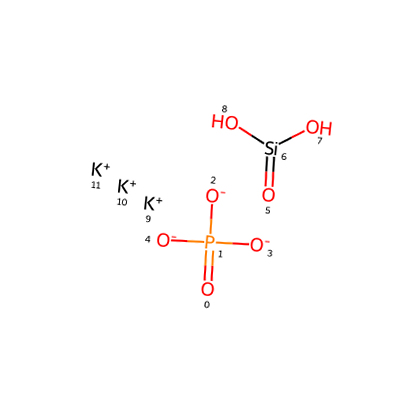 O=P([O-])([O-])[O-].O=[Si](O)O.[K+].[K+].[K+]